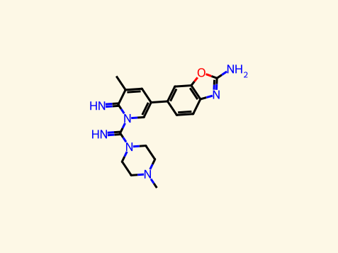 Cc1cc(-c2ccc3nc(N)oc3c2)cn(C(=N)N2CCN(C)CC2)c1=N